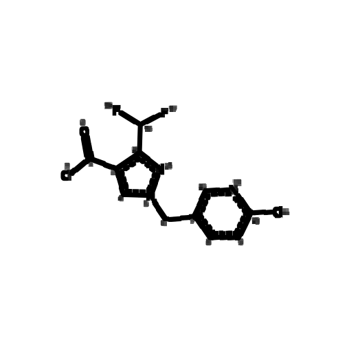 O=C(Cl)c1cn(Cc2ccc(Cl)nc2)nc1C(F)F